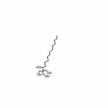 CCCCCCCCCCCCC(O)C(CO)(CO)CO